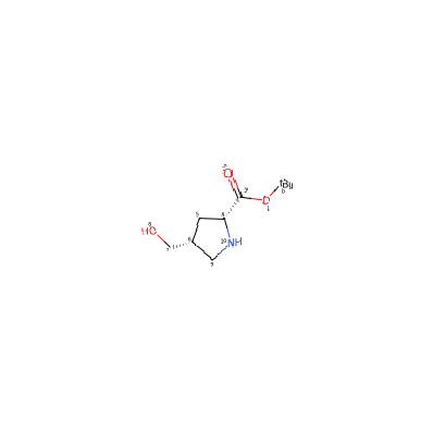 CC(C)(C)OC(=O)[C@H]1C[C@@H](CO)CN1